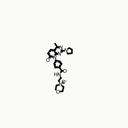 Cc1nc(N2CCCC2)nc2c1ccc(=O)n2-c1ccc(C(=O)NCC[N+]2([O-])CCOCC2)cc1